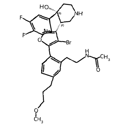 COCCCc1ccc(-c2onc([C@H]3CNCC[C@]3(O)c3ccc(F)c(F)c3)c2Br)c(CCNC(C)=O)c1